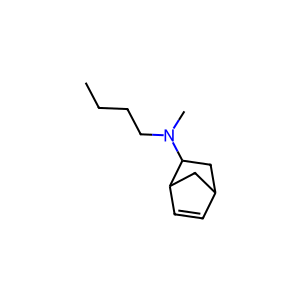 CCCCN(C)C1CC2C=CC1C2